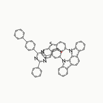 c1ccc(-c2ccc(-c3nc(-c4ccccc4)nc(-c4cccc(-n5c6ccccc6c6ccc7c8ccccc8n(-c8ccc9sc%10ccccc%10c9c8)c7c65)c4)n3)cc2)cc1